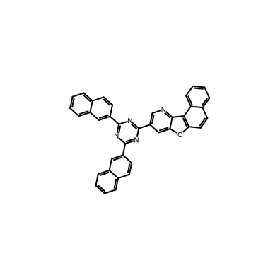 c1ccc2cc(-c3nc(-c4ccc5ccccc5c4)nc(-c4cnc5c(c4)oc4ccc6ccccc6c45)n3)ccc2c1